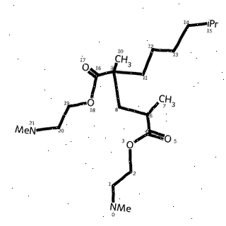 CNCCOC(=O)C(C)CC(C)(CCCCC(C)C)C(=O)OCCNC